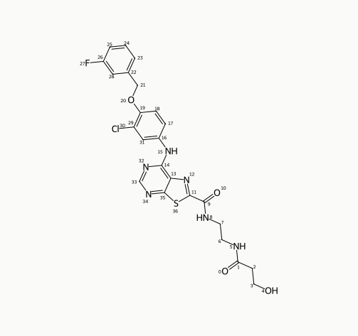 O=C(CCO)NCCNC(=O)c1nc2c(Nc3ccc(OCc4cccc(F)c4)c(Cl)c3)ncnc2s1